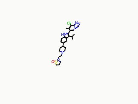 Cc1c(-c2[nH]c3ccc(C4CCN(CCN5CCC[S+]5[O-])CC4)cc3c2C(C)C)cn2cnnc2c1Cl